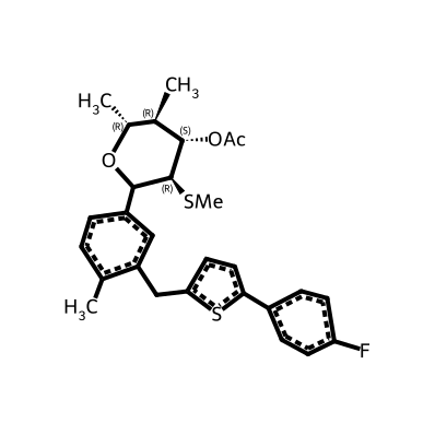 CS[C@H]1C(c2ccc(C)c(Cc3ccc(-c4ccc(F)cc4)s3)c2)O[C@H](C)[C@@H](C)[C@@H]1OC(C)=O